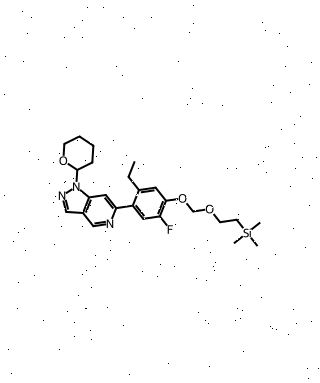 CCc1cc(OCOCC[Si](C)(C)C)c(F)cc1-c1cc2c(cn1)cnn2C1CCCCO1